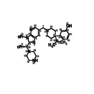 CCC[C@@H](c1nc2cc(CN3CCC(c4cccc(O)c4)(N(C)C)CC3)cnc2n1CCC)N1CCNCC1